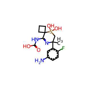 CC1(c2cc(N)ccc2F)CS(O)(O)C2(CCC2)C(NC(=O)O)=N1